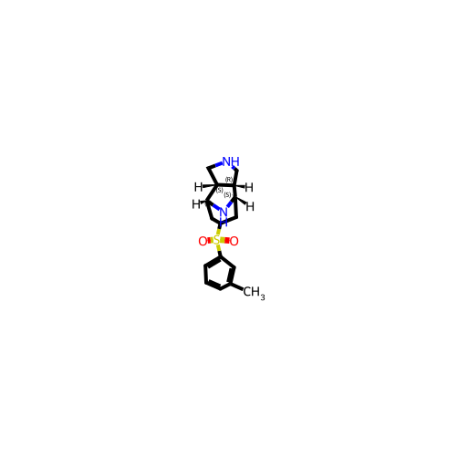 Cc1cccc(S(=O)(=O)C2C[C@@H]3N[C@H](C2)[C@@H]2CNC[C@@H]23)c1